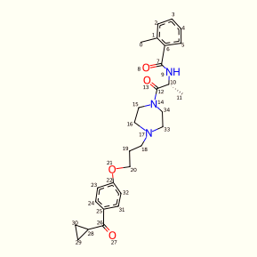 Cc1ccccc1C(=O)N[C@H](C)C(=O)N1CCN(CCCOc2ccc(C(=O)C3CC3)cc2)CC1